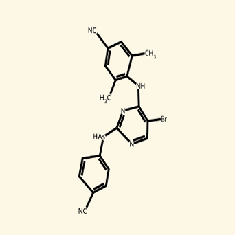 Cc1cc(C#N)cc(C)c1Nc1nc([AsH]c2ccc(C#N)cc2)ncc1Br